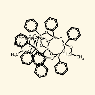 C[SiH2]O[Si]1(c2ccccc2)O[Si]2(c3ccccc3)O[Si](O[SiH2]C)(c3ccccc3)O[Si](c3ccccc3)(O1)O[Si]1(c3ccccc3)O[Si](O[SiH2]C)(c3ccccc3)O[Si](c3ccccc3)(O[Si](O[SiH](C)C)(c3ccccc3)O1)O2